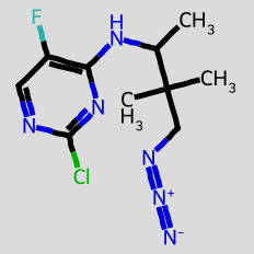 CC(Nc1nc(Cl)ncc1F)C(C)(C)CN=[N+]=[N-]